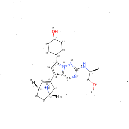 COC[C@H](C)Nc1ncc2c(C3=C[C@H]4CC[C@@H](C3)N4C)cc([C@H]3CC[C@H](O)CC3)n2n1